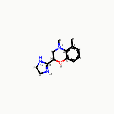 Cc1cccc2c1N(C)CC(C1=NCCN1)O2